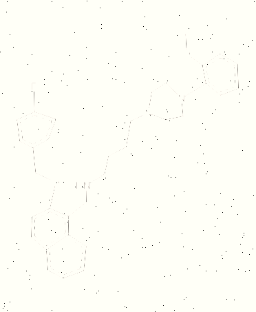 COc1ccccc1N1CCN(CCCCNCc2c(OCc3ccc(F)cc3)ccc3ccccc23)CC1